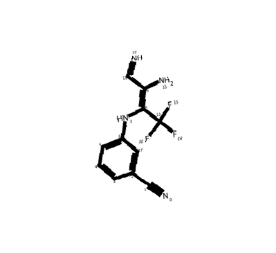 N#Cc1cccc(N/C(=C(/N)C=N)C(F)(F)F)c1